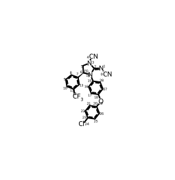 N#CN=C1N(C#N)C[C@H](c2cccc(C(F)(F)F)c2)N1c1ccc(Oc2ccc(Cl)cc2)cc1